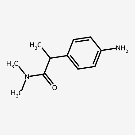 CC(C(=O)N(C)C)c1ccc(N)cc1